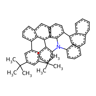 CC(C)(C)c1cc(-c2cccc3cccc(-c4ccccc4N(c4ccccc4)c4ccccc4-c4cccc5ccccc45)c23)cc(C(C)(C)C)c1